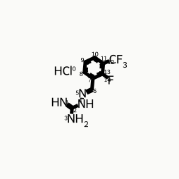 Cl.N=C(N)N/N=C/c1cccc(C(F)(F)F)c1F